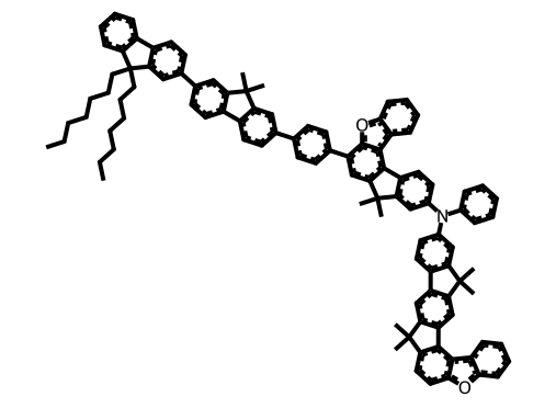 CCCCCCCC1(CCCCCCC)c2ccccc2-c2ccc(-c3ccc4c(c3)C(C)(C)c3cc(-c5ccc(-c6cc7c(c8c6oc6ccccc68)-c6ccc(N(c8ccccc8)c8ccc9c(c8)C(C)(C)c8cc%10c(cc8-9)C(C)(C)c8ccc9oc%11ccccc%11c9c8-%10)cc6C7(C)C)cc5)ccc3-4)cc21